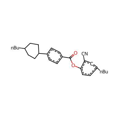 CCCCc1ccc(OC(=O)c2ccc(C3CCC(CCCC)CC3)cc2)c(C#N)c1